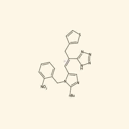 CCCCc1ncc(/C=C(/Cc2ccsc2)c2nnn[nH]2)n1Cc1ccccc1[N+](=O)[O-]